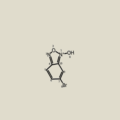 O[n+]1onc2ccc(Br)cc21